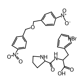 Br.O=C(O)C(Cc1ccccc1)NC(=O)C1CCCN1.O=[N+]([O-])c1ccc(COCc2ccc([N+](=O)[O-])cc2)cc1